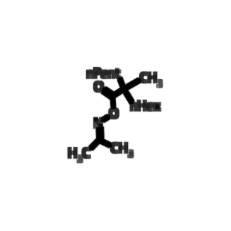 CCCCCCC(C)(CCCCC)C(=O)ON=C(C)C